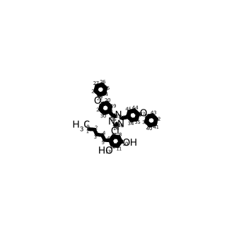 CCCCCCc1ccc(O)cc1O.Clc1nc(-c2ccc(Oc3ccccc3)cc2)nc(-c2ccc(Oc3ccccc3)cc2)n1